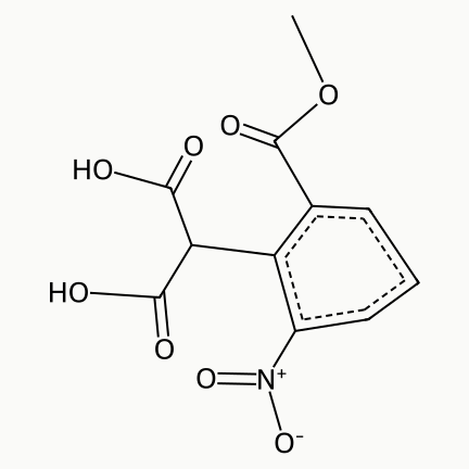 COC(=O)c1cccc([N+](=O)[O-])c1C(C(=O)O)C(=O)O